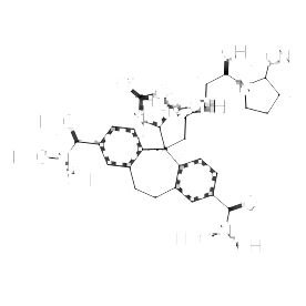 C=C(c1ccc2c(c1)CCc1cc(C(=O)N(C)C)ccc1C2(C[C@H](C)NCC(=C)N1CCCC1C#N)c1nc(=O)on1C)N(C)C